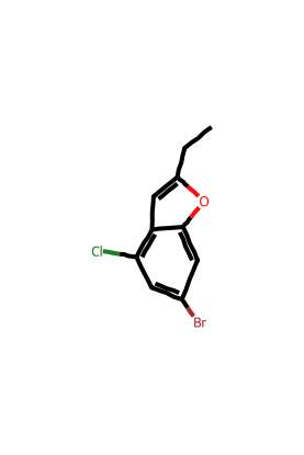 CCc1cc2c(Cl)cc(Br)cc2o1